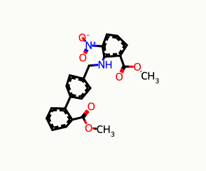 COC(=O)c1ccccc1-c1ccc(CNc2c(C(=O)OC)cccc2[N+](=O)[O-])cc1